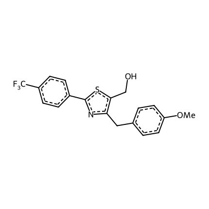 COc1ccc(Cc2nc(-c3ccc(C(F)(F)F)cc3)sc2CO)cc1